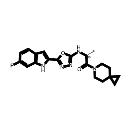 C[C@@H](Nc1nnc(-c2cc3ccc(F)cc3[nH]2)o1)C(=O)N1CCC2(CC1)CC2